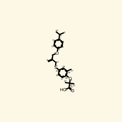 C=C(COc1ccc(C(C)C)cc1)CSc1ccc(OC(C)(C)C(=O)O)c(C)c1